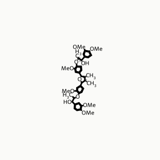 COc1ccc(C(O)C(C)Oc2ccc(C3OC(c4ccc(O[C@H](C)[C@H](O)c5ccc(OC)c(OC)c5)c(OC)c4)[C@@H](C)[C@H]3C)cc2OC)cc1OC